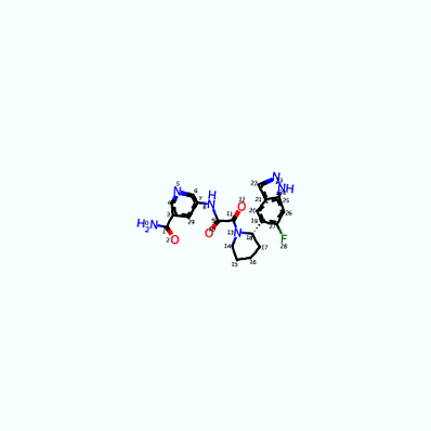 NC(=O)c1cncc(NC(=O)C(=O)N2CCCC[C@H]2c2cc3cn[nH]c3cc2F)c1